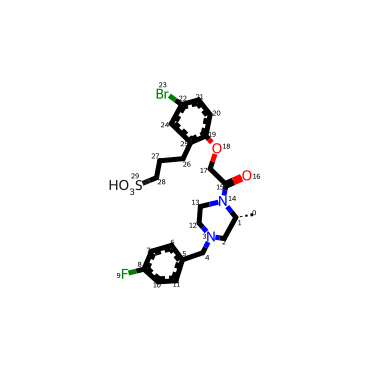 C[C@@H]1CN(Cc2ccc(F)cc2)CCN1C(=O)COc1ccc(Br)cc1CCCS(=O)(=O)O